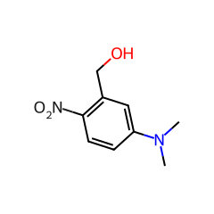 CN(C)c1ccc([N+](=O)[O-])c(CO)c1